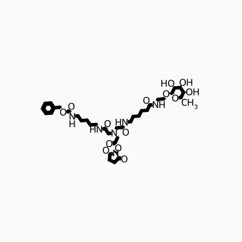 C[C@@H]1O[C@@H](OCCNC(=O)CCCCCNC(=O)CN(CC(=O)NCCCCCNC(=O)OCc2ccccc2)CC(=O)ON2C(=O)CCC2=O)[C@@H](O)[C@H](O)[C@@H]1O